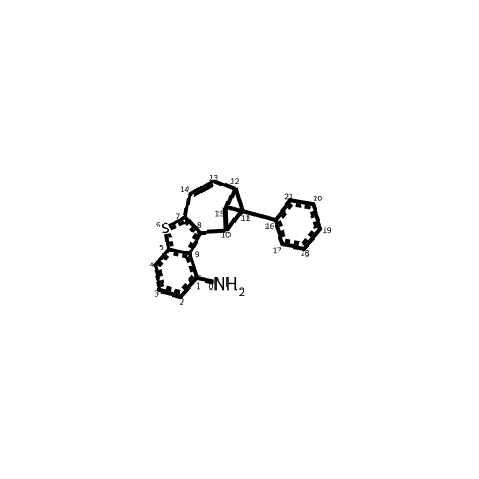 Nc1cccc2sc3c(c12)C1CC(C=C3)C1c1ccccc1